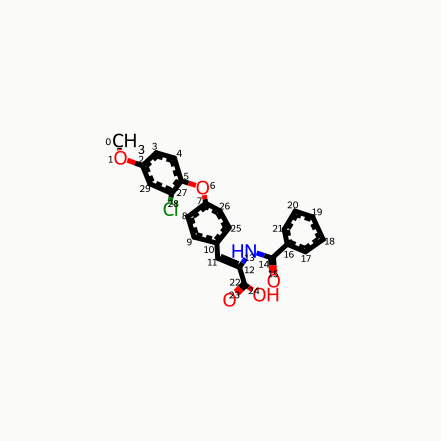 COc1ccc(Oc2ccc(/C=C(\NC(=O)c3ccccc3)C(=O)O)cc2)c(Cl)c1